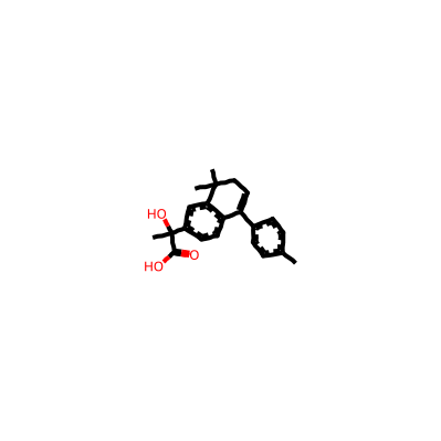 Cc1ccc(C2=CCC(C)(C)c3cc(C(C)(O)C(=O)O)ccc32)cc1